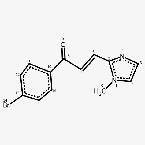 Cn1ccnc1C=CC(=O)c1ccc(Br)cc1